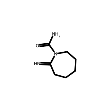 N=C1CCCCCN1C(N)=O